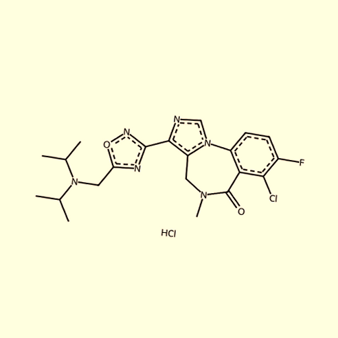 CC(C)N(Cc1nc(-c2ncn3c2CN(C)C(=O)c2c-3ccc(F)c2Cl)no1)C(C)C.Cl